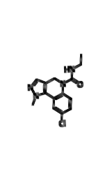 CCNC(=O)N1Cc2cnn(C)c2-c2cc(Cl)ccc21